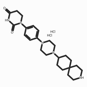 Cl.Cl.O=C1CCN(c2ccc(N3CCN(C4CCC5(CCNCC5)CC4)CC3)cc2)C(=O)N1